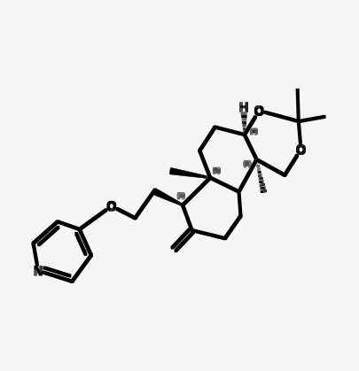 C=C1CCC2[C@]3(C)COC(C)(C)O[C@@H]3CC[C@@]2(C)[C@@H]1CCOc1ccncc1